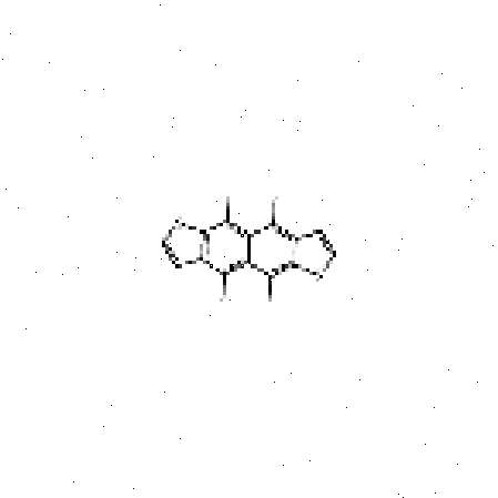 Cc1c2ccsc2c(C)c2c(C)c3ccsc3c(C)c12